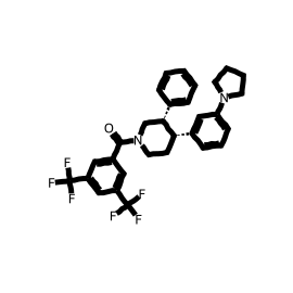 O=C(c1cc(C(F)(F)F)cc(C(F)(F)F)c1)N1CC[C@@H](c2cccc(N3CCCC3)c2)[C@@H](c2ccccc2)C1